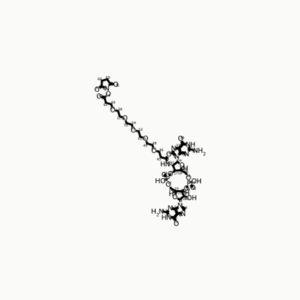 Nc1nc2c(ncn2[C@@H]2O[C@@H]3COP(=O)(O)OC4[C@@H](COP(=O)(O)O[C@@H]3C2O)O[C@@H](n2cnc3c(=O)[nH]c(N)nc32)[C@H]4NC(=O)CCOCCOCCOCCOCCOCCC(=O)ON2C(=O)CCC2=O)c(=O)[nH]1